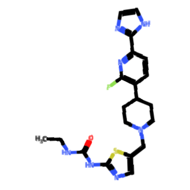 CCNC(=O)Nc1ncc(CN2CCC(c3ccc(-c4ncc[nH]4)nc3F)CC2)s1